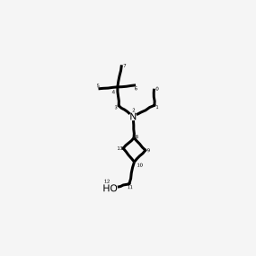 CCN(CC(C)(C)C)C1CC(CO)C1